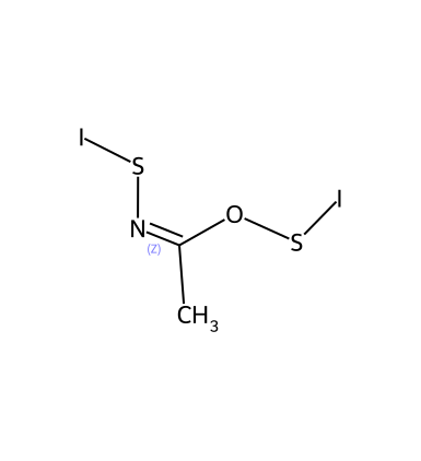 C/C(=N/SI)OSI